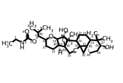 CCNC(=O)O[C@H](C(C)C)C1CC[C@H]2C(O1)[C@H](O)[C@@]1(C)C3CCC4C(C)(C)[C@@H](O)CC[C@@]45CC35CC[C@]21C